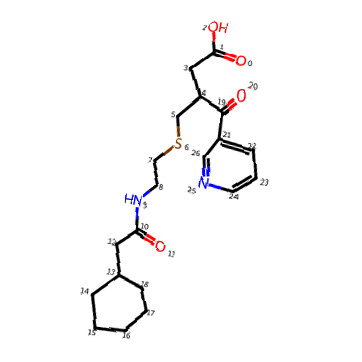 O=C(O)CC(CSCCNC(=O)CC1CCCCC1)C(=O)c1cccnc1